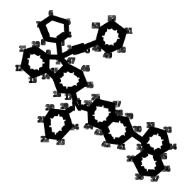 C(#CC1(C2=CCCC=C2)c2ccccc2-c2cc(N(c3ccccc3)c3ccc4cc(-c5cccc6ccccc56)ccc4c3)ccc21)c1ccccc1